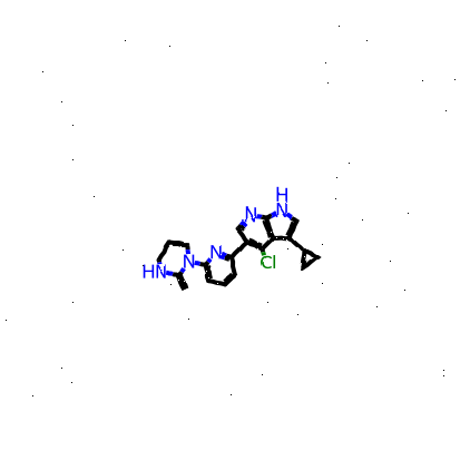 C=C1NCCCN1c1cccc(-c2cnc3[nH]cc(C4CC4)c3c2Cl)n1